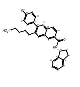 O=C(O)CCCCc1cc2cc(C(=O)N[C@@H]3CCc4ccccc43)ccc2nc1-c1ccc(F)cc1